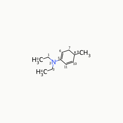 CCN(CC)C1=CCC(C)C=C1